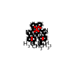 CC(C)(C)c1ccc2c(c1)B1c3cc(C(C)(C)C)ccc3N(c3c(-c4ccccc4)cncc3-c3ccccc3)c3cc(-n4c5ccccc5c5ccccc54)cc(c31)N2C1=C(c2ccccc2)C=NCC1c1ccccc1